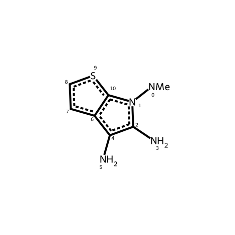 CNn1c(N)c(N)c2ccsc21